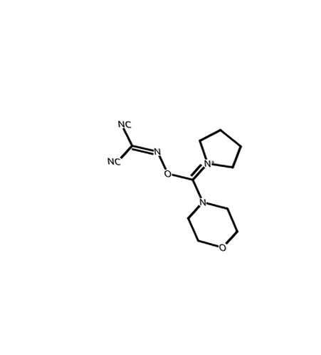 [C-]#[N+]/C(C#N)=N/OC(N1CCOCC1)=[N+]1CCCC1